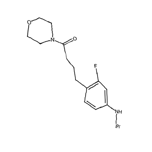 CC(C)Nc1ccc(CCCC(=O)N2CCOCC2)c(F)c1